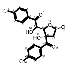 O=C(c1ccc(Cl)cc1)C(O)[C@H]1O[C@H](Cl)C[C@@]1(O)C(=O)c1ccc(Cl)cc1